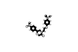 O=C1COC(c2ccc([N+](=O)[O-])cc2)CN1CCOc1ccc([N+](=O)[O-])cc1